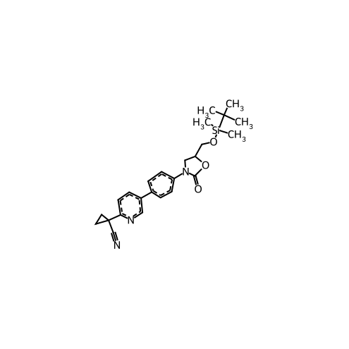 CC(C)(C)[Si](C)(C)OCC1CN(c2ccc(-c3ccc(C4(C#N)CC4)nc3)cc2)C(=O)O1